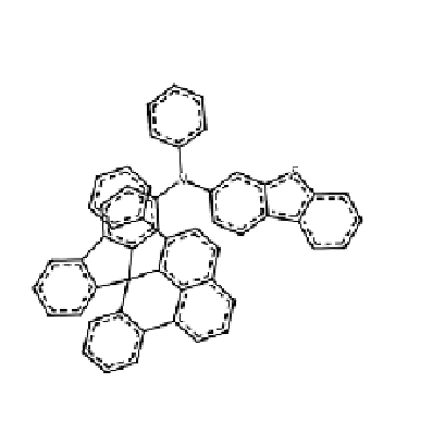 c1ccc(-c2ccc3cccc4c3c2C2(c3ccccc3-c3ccc(N(c5ccccc5)c5ccc6c(c5)sc5ccccc56)cc32)c2ccccc2-4)cc1